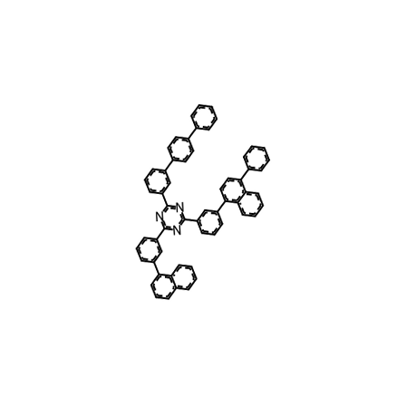 c1ccc(-c2ccc(-c3cccc(-c4nc(-c5cccc(-c6cccc7ccccc67)c5)nc(-c5cccc(-c6ccc(-c7ccccc7)c7ccccc67)c5)n4)c3)cc2)cc1